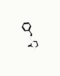 O=C1NCCN1N=Cc1ccccc1